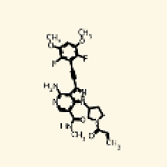 C=CC(=O)N1CCC(n2nc(C#Cc3c(F)c(OC)cc(OC)c3F)c3c(N)ncc(C(=O)NC)c32)C1